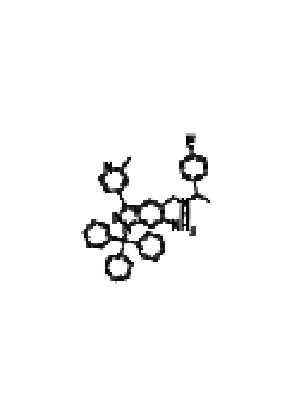 Cc1cc(-c2nn(C(c3ccccc3)(c3ccccc3)c3ccccc3)c3cc(N)c(CNC(C)c4ccc(F)cc4)cc23)ccn1